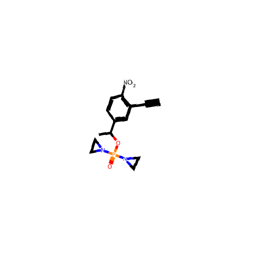 C#Cc1cc(C(C)OP(=O)(N2CC2)N2CC2)ccc1[N+](=O)[O-]